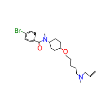 C=CCN(C)CCCCCO[C@H]1CC[C@H](N(C)C(=O)c2ccc(Br)cc2)CC1